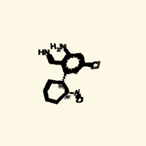 N=Cc1c(N)cc(Cl)cc1[C@H]1CCCC[C@H]1N=O